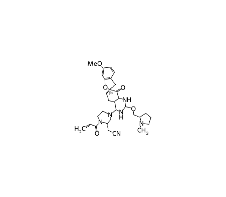 C=CC(=O)N1CCN(C2NC(OCC3CCCN3C)NC3C(=O)[C@@]4(CCC32)Cc2ccc(OC)cc2O4)CC1CC#N